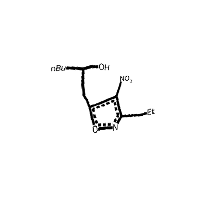 CCCCC(O)Cc1onc(CC)c1[N+](=O)[O-]